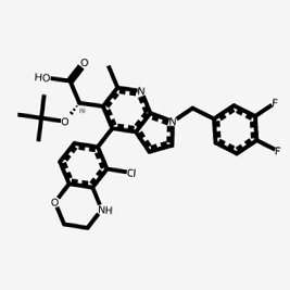 Cc1nc2c(ccn2Cc2ccc(F)c(F)c2)c(-c2ccc3c(c2Cl)NCCO3)c1[C@H](OC(C)(C)C)C(=O)O